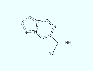 N#CC(N)c1cn2nccc2cn1